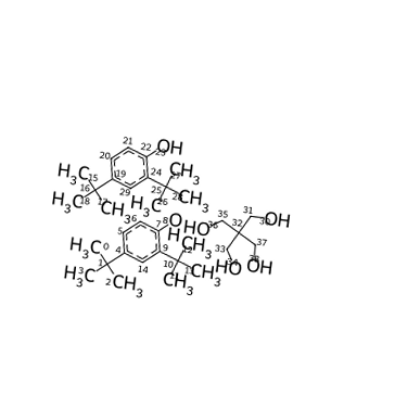 CC(C)(C)c1ccc(O)c(C(C)(C)C)c1.CC(C)(C)c1ccc(O)c(C(C)(C)C)c1.OCC(CO)(CO)CO